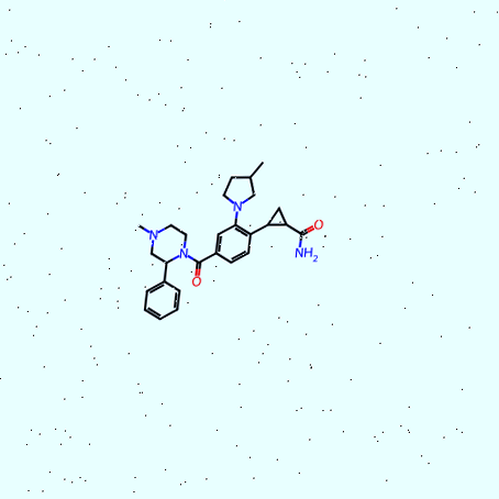 CC1CCN(c2cc(C(=O)N3CCN(C)CC3c3ccccc3)ccc2C2CC2C(N)=O)C1